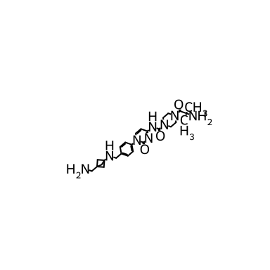 CC(C)(N)C(=O)N1CCN(C(=O)Nc2ccn(-c3ccc(CNC45CC(CN)(C4)C5)cc3)c(=O)n2)CC1